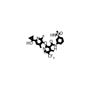 Cc1cc(C2(O)CC2)nc(F)c1Oc1nnc(C(F)(F)F)c(C)c1C(=O)Nc1cccc(S(C)(=N)=O)c1